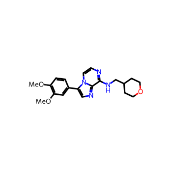 COc1ccc(-c2cnc3c(NCC4CCOCC4)nccn23)cc1OC